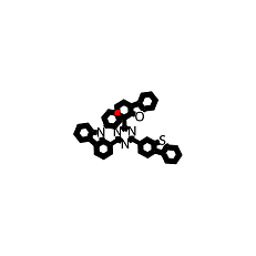 c1ccc(-n2c3ccccc3c3cccc(-c4nc(-c5ccc6c(c5)sc5ccccc56)nc(-c5cccc6c5oc5ccccc56)n4)c32)cc1